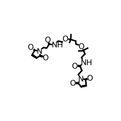 CC(C)(CCNC(=O)CCN1C(=O)C=CC1=O)OCCC(C)(C)OCCNC(=O)CCN1C(=O)C=CC1=O